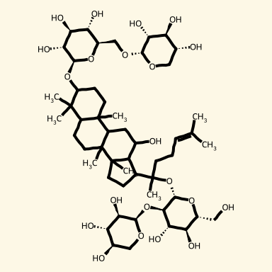 CC(C)=CCCC(C)(O[C@@H]1O[C@H](CO)[C@@H](O)[C@H](O)[C@H]1O[C@H]1OC[C@@H](O)[C@H](O)[C@H]1O)C1CCC2(C)C1C(O)CC1C3(C)CCC(O[C@@H]4O[C@H](CO[C@H]5OC[C@@H](O)[C@H](O)[C@H]5O)[C@@H](O)[C@H](O)[C@H]4O)C(C)(C)C3CCC12C